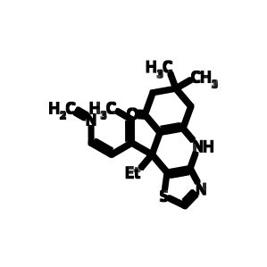 C=N/C=C\C(=C/C)C1(CC)C2=C(CC(C)(C)CC2=O)Nc2ncsc21